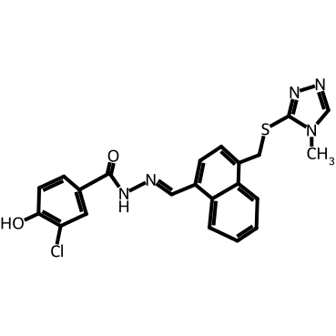 Cn1cnnc1SCc1ccc(/C=N/NC(=O)c2ccc(O)c(Cl)c2)c2ccccc12